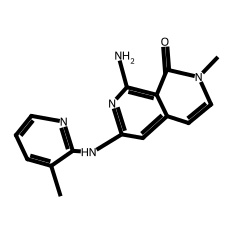 Cc1cccnc1Nc1cc2ccn(C)c(=O)c2c(N)n1